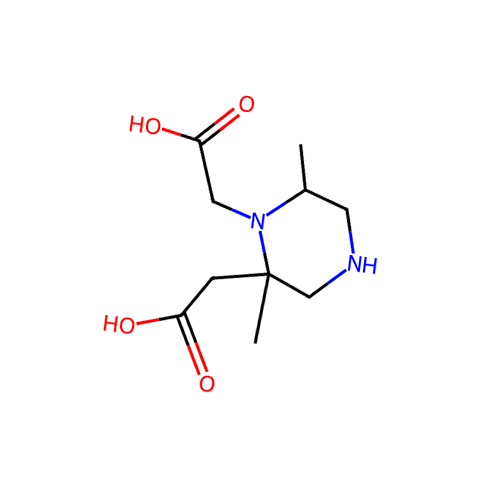 CC1CNCC(C)(CC(=O)O)N1CC(=O)O